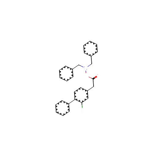 C[C@@H](C(=O)ON(Cc1ccccc1)Cc1ccccc1)c1ccc(-c2ccccc2)c(F)c1